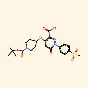 CC(C)(C)OC(=O)N1CCC(Oc2cc(=O)n(-c3ccc(S(C)(=O)=O)cc3)nc2C(=O)O)CC1